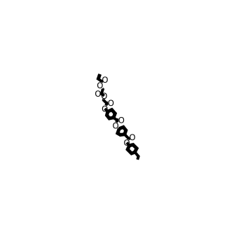 C=CC(=O)OCC(=O)OCC(=O)Oc1ccc(C(=O)Oc2ccc(C(=O)Oc3ccc(CC)cc3)cc2)cc1